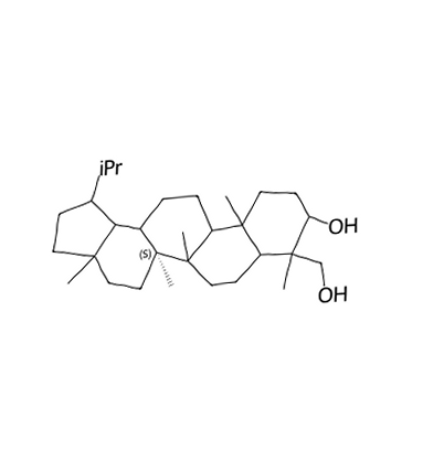 CC(C)C1CCC2(C)CC[C@@]3(C)C(CCC4C5(C)CCC(O)C(C)(CO)C5CCC43C)C12